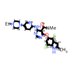 CCN1CCN(C2=CCC(Nc3ncnc(Oc4cc(F)c5[nH]c(C)cc5c4F)c3C(=O)NC)N=C2)CC1